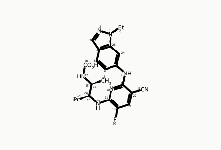 CCn1ncc2ccc(Nc3nc(N[C@@H](C(C)C)[C@H](C)NC(=O)O)c(F)cc3C#N)cc21